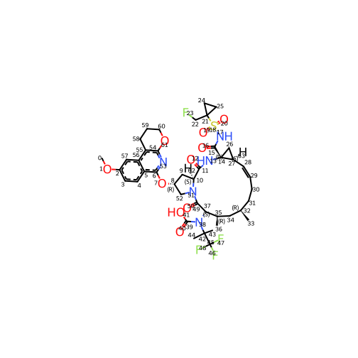 COc1ccc2c(O[C@@H]3C[C@H]4C(=O)N[C@]5(C(=O)NS(=O)(=O)C6(CF)CC6)C[C@H]5C=CCC[C@@H](C)C[C@@H](C)[C@H](N(C(=O)O)C(C)(C)C(F)(F)F)C(=O)N4C3)nc3c(c2c1)CCCO3